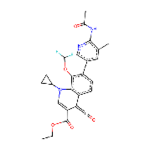 CCOC(=O)C1=CN(C2CC2)c2c(ccc(-c3cnc(NC(C)=O)c(C)c3)c2OC(F)F)C1=C=O